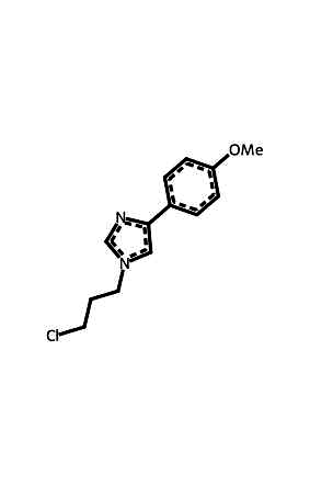 COc1ccc(-c2cn(CCCCl)cn2)cc1